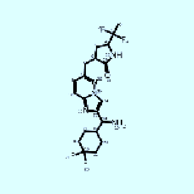 CC(F)(F)C1CC(Cc2ccc3nc(C(N)C4CCC(F)(F)CC4)cn3n2)C(=O)N1